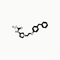 CC(=O)NC1CCN(CCOc2ccc(Cc3ccccc3)cc2)C1